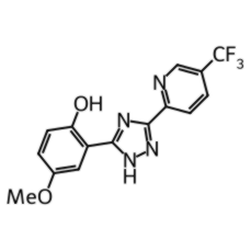 COc1ccc(O)c(-c2nc(-c3ccc(C(F)(F)F)cn3)n[nH]2)c1